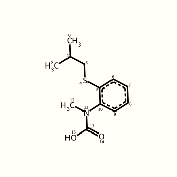 CC(C)CSc1ccccc1N(C)C(=O)O